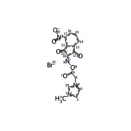 Cn1cc[n+](CC(=O)O/N=c2\c(=O)c3cccc([N+](=O)[O-])c3c2=O)c1.[Br-]